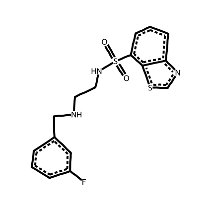 O=S(=O)(NCCNCc1cccc(F)c1)c1cccc2ncsc12